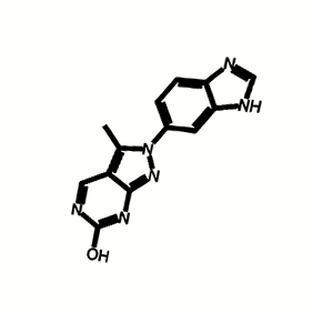 Cc1c2cnc(O)nc2nn1-c1ccc2nc[nH]c2c1